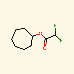 O=C(OC1CCCCCC1)C(F)F